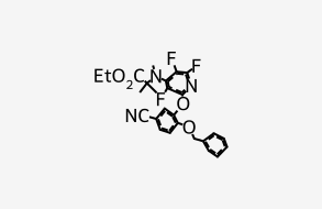 CCOC(=O)C(C)(C)N(C)c1c(F)c(F)nc(Oc2cc(C#N)ccc2OCc2ccccc2)c1F